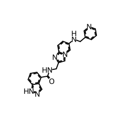 O=C(NCc1cn2cc(NCc3cccnc3)ccc2n1)c1cccc2[nH]ncc12